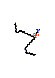 CCCCC/C=C\C/C=C\CCCCCCCC1OP(=O)(CCN(C)C)OC1CCCCCCC/C=C\C/C=C\CCCCC